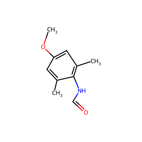 COc1cc(C)c(NC=O)c(C)c1